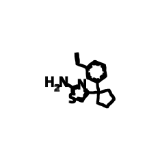 C=Cc1cccc(C2(c3csc(N)n3)CCCC2)c1